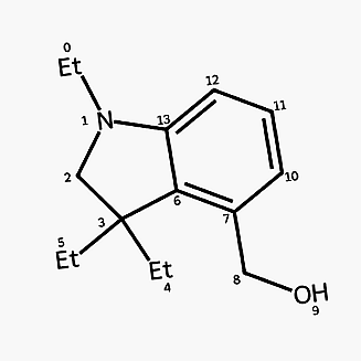 CCN1CC(CC)(CC)c2c(CO)cccc21